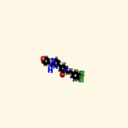 O=c1cc(-c2ccnc(NC3CCOCC3)n2)ccn1CCC1=CCC(Cl)C(Cl)=C1